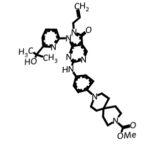 C=CCn1c(=O)c2cnc(Nc3ccc(N4CCC5(CCN(C(=O)OC)CC5)CC4)cc3)nc2n1-c1cccc(C(C)(C)O)n1